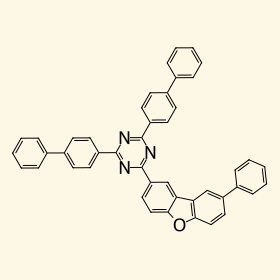 c1ccc(-c2ccc(-c3nc(-c4ccc(-c5ccccc5)cc4)nc(-c4ccc5oc6ccc(-c7ccccc7)cc6c5c4)n3)cc2)cc1